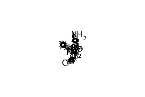 NCc1ccc(CNC(=O)[C@@H]2C[C@@H](Cc3ccc(Cl)cc3)CN2C(=O)[C@H](N)CCc2ccccc2)cc1